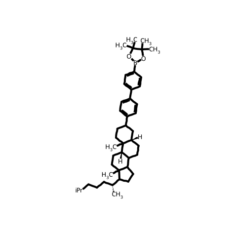 CC(C)CCC[C@@H](C)C1CCC2C3CC[C@H]4CC(c5ccc(-c6ccc(B7OC(C)(C)C(C)(C)O7)cc6)cc5)CCC4(C)[C@H]3CCC21C